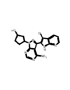 Nc1ncnc2c1c(-c1[nH]c3ncccc3c1Cl)nn2C1CCC(O)C1